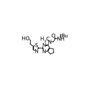 CN(CC(=O)NC(C)(C)C)c1nc(-c2ncc(CCO)s2)nc2c1CCC2